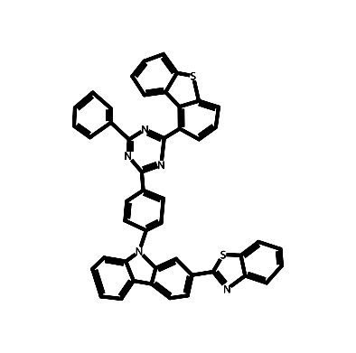 c1ccc(-c2nc(-c3ccc(-n4c5ccccc5c5ccc(-c6nc7ccccc7s6)cc54)cc3)nc(-c3cccc4sc5ccccc5c34)n2)cc1